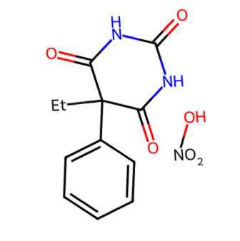 CCC1(c2ccccc2)C(=O)NC(=O)NC1=O.O=[N+]([O-])O